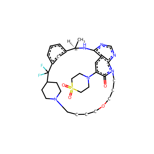 C[C@H]1Nc2ncnc3c2cc(N2CCS(=O)(=O)CC2)c(=O)n3CCCOCCCCN2CCC(CC2)C(F)(F)c2cccc1c2